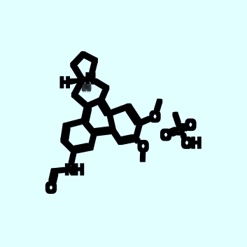 COc1cc2c3c(c4ccc(NC=O)cc4c2cc1OC)C[C@@H]1CCCN1C3.CS(=O)(=O)O